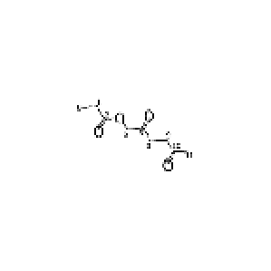 CCC(=O)OCC(=O)CCC(C)=O